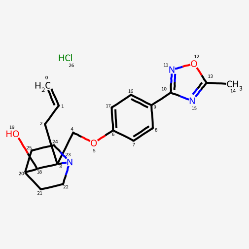 C=CCC1(COc2ccc(-c3noc(C)n3)cc2)C(O)C2CCN1CC2.Cl